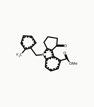 COC(=O)c1cccc2c1c1c(n2Cc2ccccc2C(F)(F)F)CCCC1=O